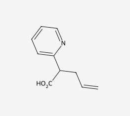 C=CCC(C(=O)O)c1ccccn1